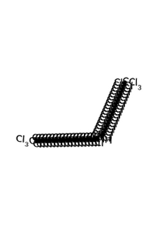 ClC(Cl)(Cl)C(Cl)(Cl)C(Cl)(Cl)C(Cl)(Cl)C(Cl)(Cl)C(Cl)(Cl)C(Cl)(Cl)C(Cl)(Cl)C(Cl)(Cl)C(Cl)(Cl)C(Cl)(Cl)C(Cl)(Cl)C(Cl)(Cl)C(Cl)(Cl)C(Cl)(Cl)C(Cl)(Cl)C(Cl)(Cl)C(Cl)(Cl)C(Cl)(Cl)C(Cl)(Cl)NC(Cl)(Cl)C(Cl)(Cl)C(Cl)(Cl)C(Cl)(Cl)C(Cl)(Cl)C(Cl)(Cl)C(Cl)(Cl)C(Cl)(Cl)C(Cl)(Cl)C(Cl)(Cl)C(Cl)(Cl)C(Cl)(Cl)C(Cl)(Cl)C(Cl)(Cl)C(Cl)(Cl)C(Cl)(Cl)C(Cl)(Cl)C(Cl)(Cl)C(Cl)(Cl)C(Cl)(Cl)Cl